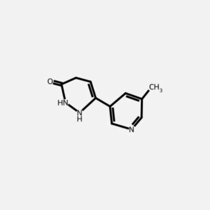 Cc1cncc(C2=CCC(=O)NN2)c1